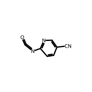 N#Cc1ccc(N=C=O)nc1